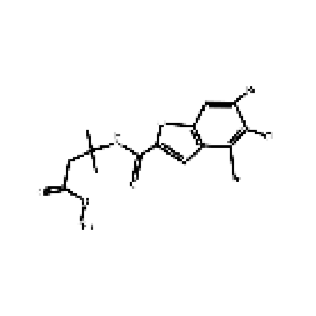 CC(C)(CC(=O)OC(C)(C)C)NC(=O)c1cc2c(Br)c(O)c(Br)cc2o1